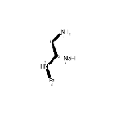 NCC[NH][Fe].[NaH]